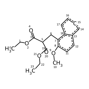 CCOC(=O)C(Cc1c(OC)ccc2ccccc12)C(=O)OCC